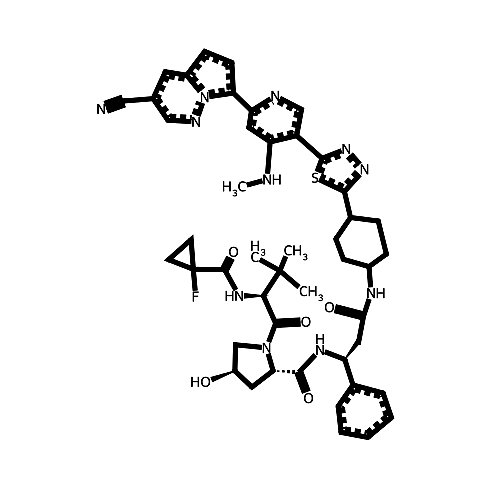 CNc1cc(-c2ccc3cc(C#N)cnn23)ncc1-c1nnc(C2CCC(NC(=O)C[C@H](NC(=O)[C@@H]3C[C@@H](O)CN3C(=O)[C@@H](NC(=O)C3(F)CC3)C(C)(C)C)c3ccccc3)CC2)s1